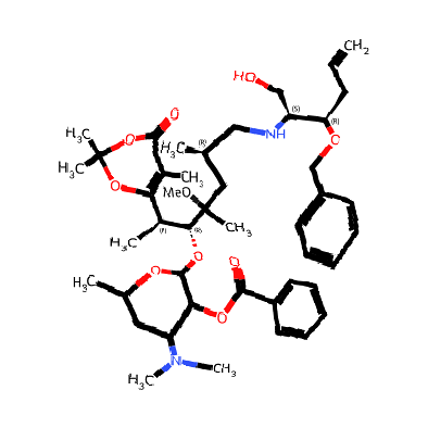 C=CC[C@@H](OCc1ccccc1)[C@H](CO)NC[C@H](C)CC(C)(OC)[C@H](OC1OC(C)CC(N(C)C)C1OC(=O)c1ccccc1)[C@@H](C)C1=C(C)C(=O)OC(C)(C)O1